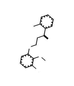 COc1c(O)cccc1OCCC(=O)c1ccccc1C